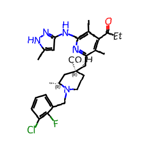 CCC(=O)c1c(C)c(C[C@@]2(C(=O)O)CCN(Cc3cccc(Cl)c3F)[C@H](C)C2)nc(Nc2cc(C)[nH]n2)c1C